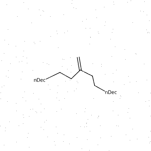 C=C(CCCCCCCCCCCC)CCCCCCCCCCCC